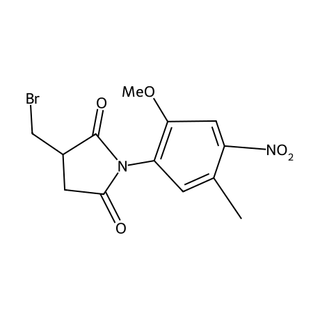 COc1cc([N+](=O)[O-])c(C)cc1N1C(=O)CC(CBr)C1=O